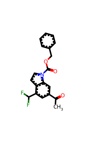 CC(=O)c1cc(C(F)F)c2ccn(C(=O)OCc3ccccc3)c2c1